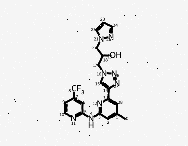 Cc1cc(Nc2cc(C(F)(F)F)ccn2)nc(-c2cn(CC(O)Cn3cccn3)nn2)c1